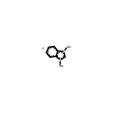 CC(C)(C)n1c[n+](C(C)(C)C)c2ccccc21.[Cl-]